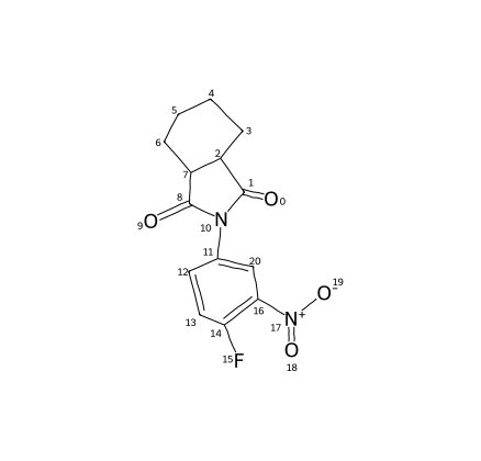 O=C1C2CCCCC2C(=O)N1c1ccc(F)c([N+](=O)[O-])c1